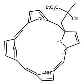 CCOC(=O)C(C)(C#N)CC12C=CC(F)(C=c3ccc([nH]3)=CC3=NC(=Cc4ccc([nH]4)C1)C=C3)N2